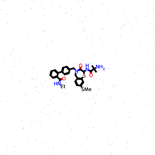 CCNC(=O)c1ccccc1-c1ccc(CN2Cc3ccc(SC)cc3SC(NC(=O)C(C)(C)N)C2=O)cc1